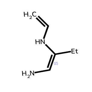 C=CN/C(=C\N)CC